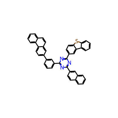 c1cc(-c2ccc3c(ccc4ccccc43)c2)cc(-c2nc(-c3ccc4ccccc4c3)nc(-c3ccc4sc5ccccc5c4c3)n2)c1